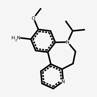 COc1cc2c(cc1N)-c1cccnc1CCN2C(C)C